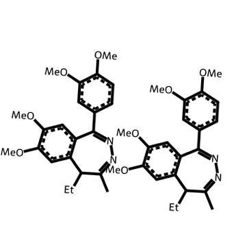 CCC1C(C)=NN=C(c2ccc(OC)c(OC)c2)c2cc(OC)c(OC)cc21.CCC1C(C)=NN=C(c2ccc(OC)c(OC)c2)c2cc(OC)c(OC)cc21